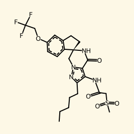 CCCCCc1nn2c(c1NC(=O)CS(C)(=O)=O)C(=O)N[C@]1(CCc3cc(OCC(F)(F)F)ccc31)C2